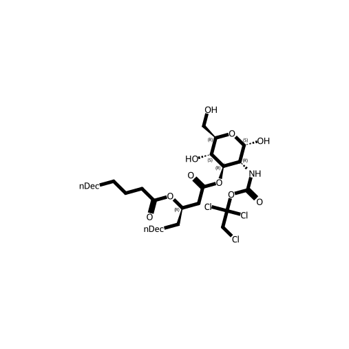 CCCCCCCCCCCCCC(=O)O[C@H](CCCCCCCCCCC)CC(=O)O[C@H]1[C@H](O)[C@@H](CO)O[C@H](O)[C@@H]1NC(=O)OC(Cl)(Cl)CCl